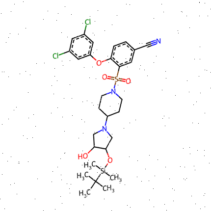 CC(C)(C)[Si](C)(C)OC1CN(C2CCN(S(=O)(=O)c3cc(C#N)ccc3Oc3cc(Cl)cc(Cl)c3)CC2)CC1O